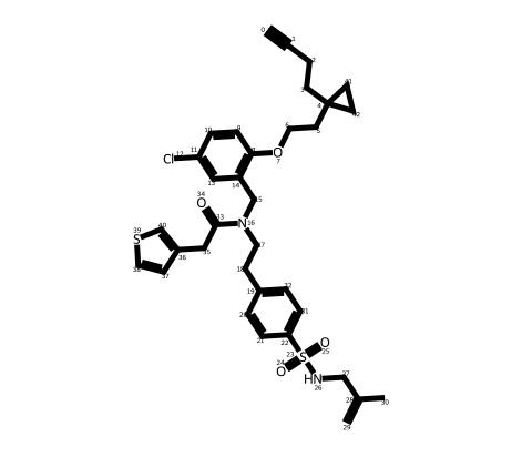 C#CCCC1(CCOc2ccc(Cl)cc2CN(CCc2ccc(S(=O)(=O)NCC(=C)C)cc2)C(=O)Cc2ccsc2)CC1